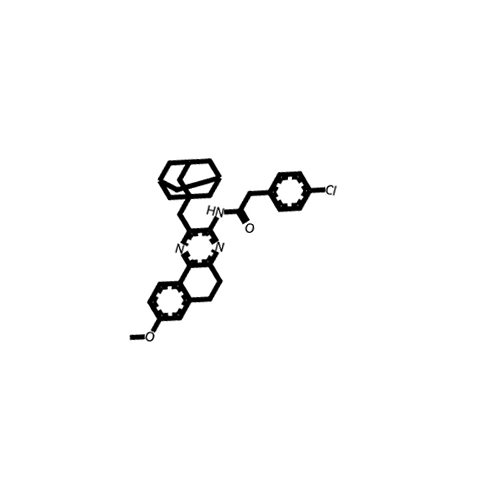 COc1ccc2c(c1)CCc1nc(NC(=O)Cc3ccc(Cl)cc3)c(CC34CC5CC(CC(C5)C3)C4)nc1-2